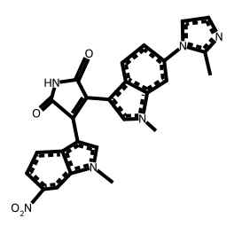 Cc1nccn1-c1ccc2c(C3=C(c4cn(C)c5cc([N+](=O)[O-])ccc45)C(=O)NC3=O)cn(C)c2c1